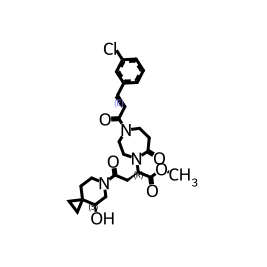 COC(=O)[C@@H](CC(=O)N1CCC2(CC2)[C@H](O)C1)N1CCN(C(=O)/C=C/c2cccc(Cl)c2)CCC1=O